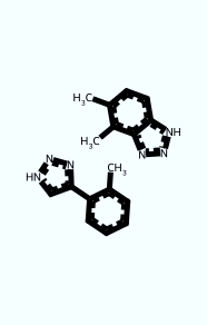 Cc1ccc2[nH]nnc2c1C.Cc1ccccc1-c1c[nH]nn1